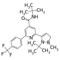 CB1CC=C(c2cc(C(=O)NC(C)(C)C)cc(-c3ccc(C(F)(F)F)cc3)n2)N1C(C)(C)C